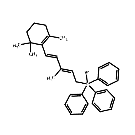 CC1=C(/C=C/C(C)=C/CP(Br)(c2ccccc2)(c2ccccc2)c2ccccc2)C(C)(C)CCC1